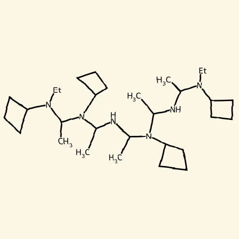 CCN(C1CCC1)C(C)NC(C)N(C1CCC1)C(C)NC(C)N(C1CCC1)C(C)N(CC)C1CCC1